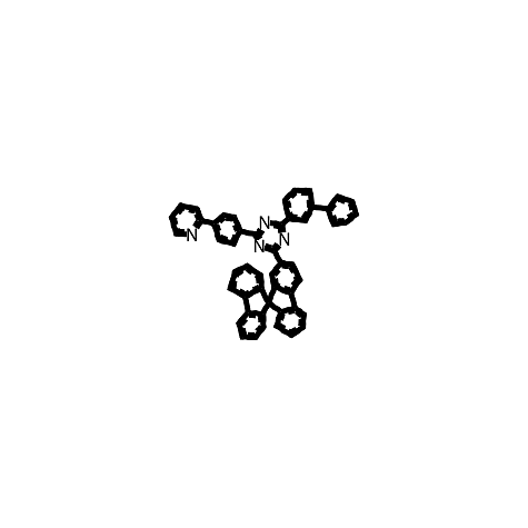 c1ccc(-c2cccc(-c3nc(-c4ccc(-c5ccccn5)cc4)nc(-c4ccc5c(c4)C4(c6ccccc6-c6ccccc64)c4ccccc4-5)n3)c2)cc1